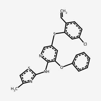 C=Cc1ccc(Cl)cc1Sc1cnc(Nc2nc(C)cs2)c(Oc2ccccc2)c1